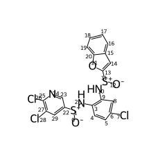 [O-][S+](Nc1ccc(Cl)cc1N[S+]([O-])c1cc2ccccc2o1)c1cnc(Cl)c(Cl)c1